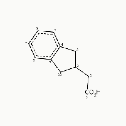 O=C(O)CC1=Cc2ccccc2C1